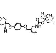 CC(C)(C)OC(=O)NC/C(=C\F)COc1ccc(SCC2(C#N)CCOCC2)cc1